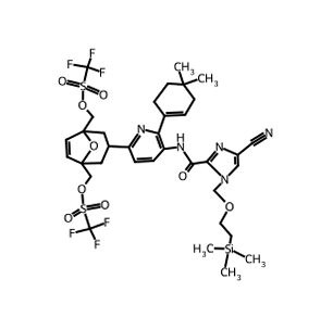 CC1(C)CC=C(c2nc(C3CC4(COS(=O)(=O)C(F)(F)F)C=CC(COS(=O)(=O)C(F)(F)F)(C3)O4)ccc2NC(=O)c2nc(C#N)cn2COCC[Si](C)(C)C)CC1